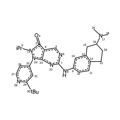 CC(C)n1c(=O)c2cnc(Nc3ccc4c(c3)CC(N(C)C)CC4)nc2n1-c1ccnc(C(C)(C)C)c1